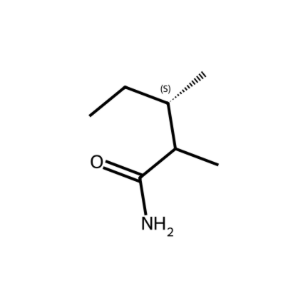 CC[C@H](C)C(C)C(N)=O